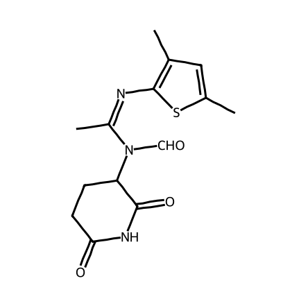 C/C(=N/c1sc(C)cc1C)N(C=O)C1CCC(=O)NC1=O